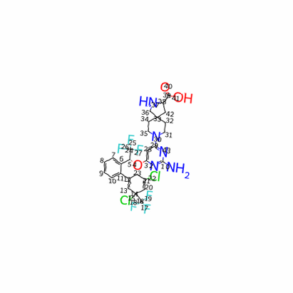 Nc1nc(O[C@H](c2ccccc2C2=CC(Cl)(C(F)(F)F)C=C(Cl)C2)C(F)(F)F)cc(N2CCC3(CC2)CNC(C(=O)O)C3)n1